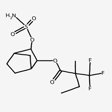 CCC(C)(C(=O)OC1C2CCC(C2)C1OS(N)(=O)=O)C(F)(F)F